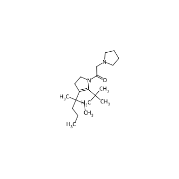 CCCC(C)(CC)C1=C(C(C)(C)C)N(C(=O)CN2CCCC2)CC1